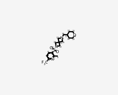 Cc1nc(C(F)(F)F)ccc1S(=O)(=O)N1CC2(CN(CC3CCOCC3)C2)C1